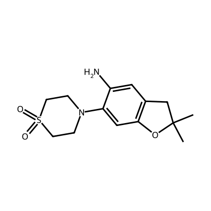 CC1(C)Cc2cc(N)c(N3CCS(=O)(=O)CC3)cc2O1